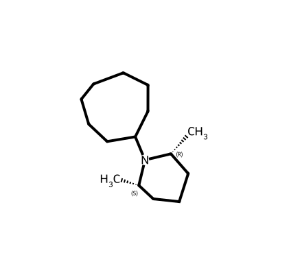 C[C@@H]1CCC[C@H](C)N1C1CCCCCCC1